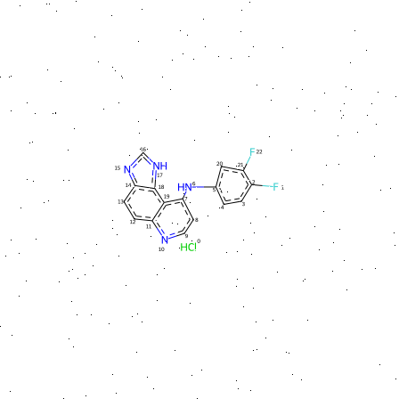 Cl.Fc1ccc(Nc2ccnc3ccc4nc[nH]c4c23)cc1F